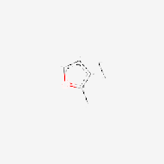 CC.Cc1ccco1